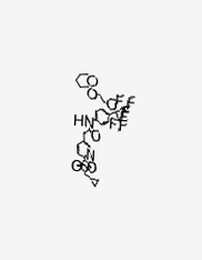 O=C(Cc1ccc(S(=O)(=O)CC2CC2)nc1)Nc1ccc(C(OCCOC2CCCCO2)(C(F)(F)F)C(F)(F)F)cc1